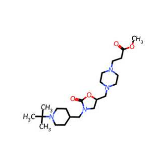 COC(=O)CCN1CCN(CC2CN(CC3CCN(C(C)(C)C)CC3)C(=O)O2)CC1